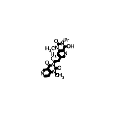 CC(C)N1C(=O)N(C)c2cc(CC(C)n3c(=O)c4cnccc4n(C)c3=O)cnc2C1O